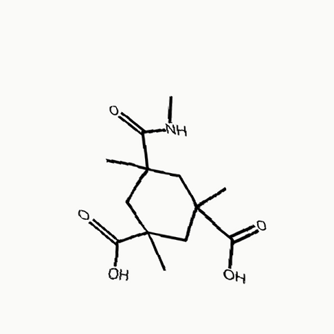 CNC(=O)C1(C)CC(C)(C(=O)O)CC(C)(C(=O)O)C1